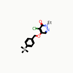 CCn1ncc(OCc2ccc([Si](C)(C)C)cc2)c(Cl)c1=O